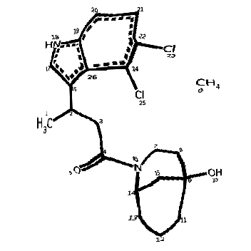 C.CC(CC(=O)N1CCC2(O)CCCC1C2)c1c[nH]c2ccc(Cl)c(Cl)c12